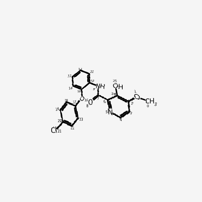 COc1ccnc(C(=O)Nc2ccccc2Oc2ccc(Cl)cc2)c1O